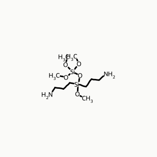 CO[Si](CCCN)(CCCN)O[Si](OC)(OC)OC